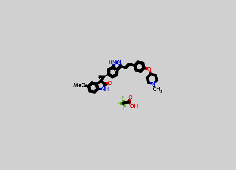 COc1ccc2c(c1)[C@]1(C[C@H]1c1ccc3c(C=Cc4ccc(OC5CCN(C)CC5)cc4)n[nH]c3c1)C(=O)N2.O=C(O)C(F)(F)F